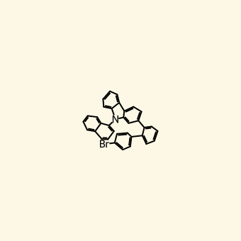 Brc1ccc(-c2ccccc2-c2ccc3c4ccccc4n(-c4cccc5ccccc45)c3c2)cc1